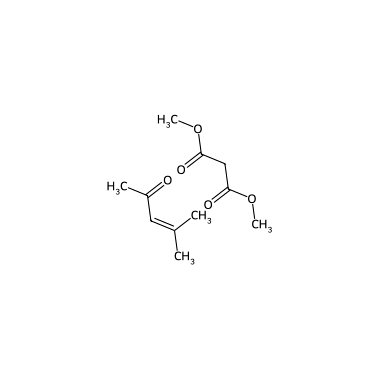 CC(=O)C=C(C)C.COC(=O)CC(=O)OC